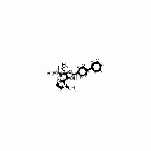 Cn1ccnc1[C@H](O)[C@](C)(OCc1ccc(-c2ccccc2)cc1)C(=O)NO